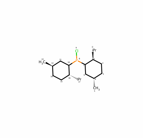 CC(C)[C@H]1CC[C@H](C)CC1P(Cl)C1C[C@H](C)CC[C@H]1C(C)C